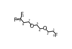 FCCOCCOCCC(F)F